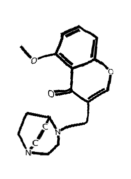 COc1cccc2occ(CN3CCN4CCC3CC4)c(=O)c12